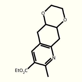 CCOC(=O)c1cc2c(nc1C)CC1OCCOC1C2